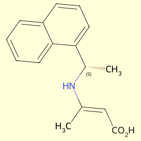 CC(=CC(=O)O)N[C@@H](C)c1cccc2ccccc12